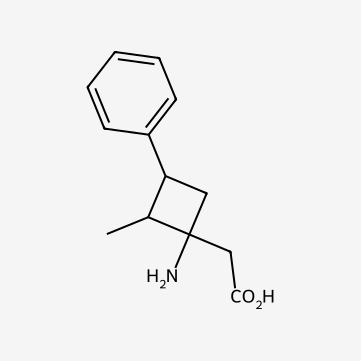 CC1C(c2ccccc2)CC1(N)CC(=O)O